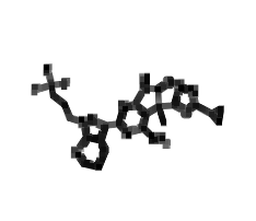 CC1(c2nnc(C3CC3)o2)C(=O)Nc2nc(-c3nn(CCCC(F)(F)F)c4ncccc34)nc(N)c21